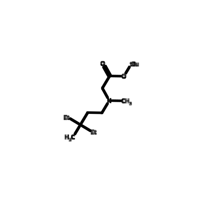 CCC(C)(CC)CCN(C)CC(=O)OC(C)(C)C